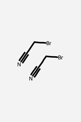 N#CCBr.N#CCBr